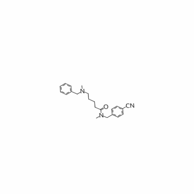 CN(CCCCC(=O)N(C)Cc1ccc(C#N)cc1)Cc1ccccc1